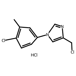 Cc1cc(-n2cnc(CCl)c2)ccc1Cl.Cl